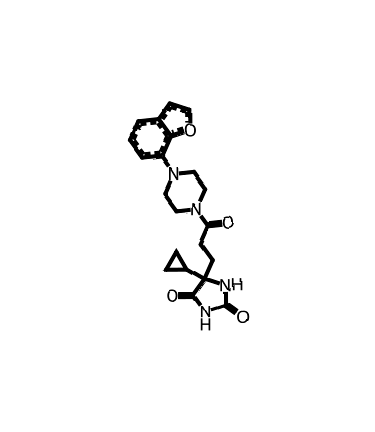 O=C1NC(=O)C(CCC(=O)N2CCN(c3cccc4ccoc34)CC2)(C2CC2)N1